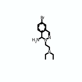 CCN(CC)CCN1N=Cc2cc(Br)ccc2C1N